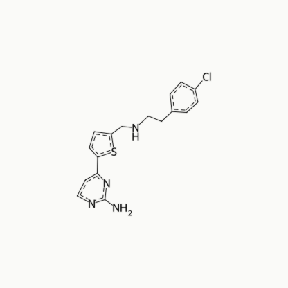 Nc1nccc(-c2ccc(CNCCc3ccc(Cl)cc3)s2)n1